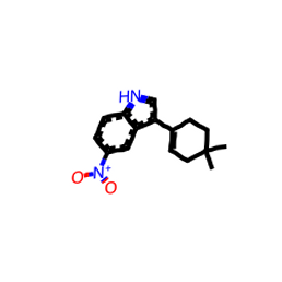 CC1(C)CC=C(c2c[nH]c3ccc([N+](=O)[O-])cc23)CC1